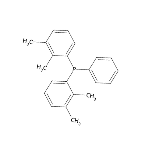 Cc1cccc(P(c2ccccc2)c2cccc(C)c2C)c1C